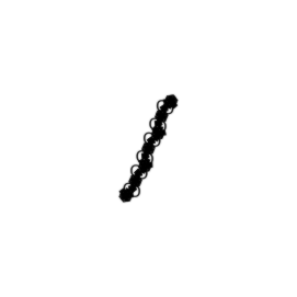 Cc1cccc(C)c1OC(=O)c1ccc(C(=O)Oc2cc(C)c(OC(=O)c3ccc(C(=O)Oc4cc(C)c(OC(=O)c5ccc(C(=O)Oc6c(C)cccc6C)cc5)c(C)c4)cc3)c(C)c2)cc1